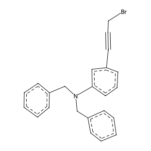 BrCC#Cc1cccc(N(Cc2ccccc2)Cc2ccccc2)c1